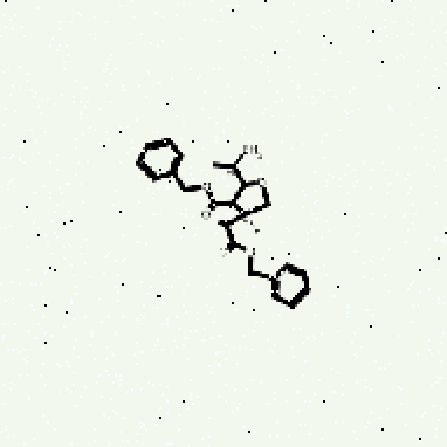 B[C@H](C)C1OC[C@@](C)(C(C)C(=O)OCc2ccccc2)C1C(=O)OCc1ccccc1